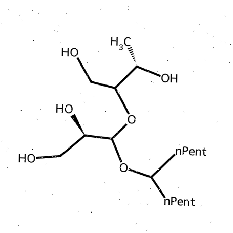 CCCCCC(CCCCC)OC(OC(CO)[C@H](C)O)[C@H](O)CO